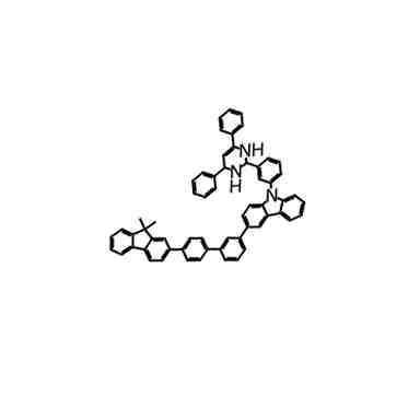 CC1(C)c2ccccc2-c2ccc(-c3ccc(-c4cccc(-c5ccc6c(c5)c5ccccc5n6-c5cccc(C6NC(c7ccccc7)=CC(c7ccccc7)N6)c5)c4)cc3)cc21